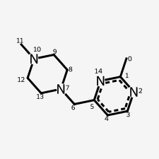 Cc1nccc(CN2CCN(C)CC2)n1